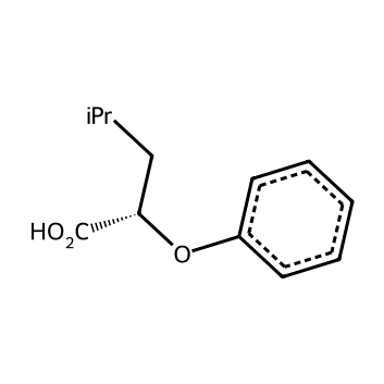 CC(C)C[C@H](Oc1ccccc1)C(=O)O